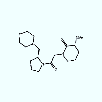 CN[C@@H]1CCCN(CC(=O)N2CCC[C@H]2CN2CCOCC2)C1=O